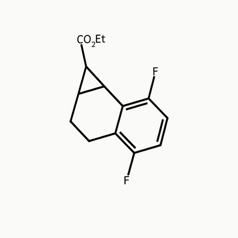 CCOC(=O)C1C2CCc3c(F)ccc(F)c3C21